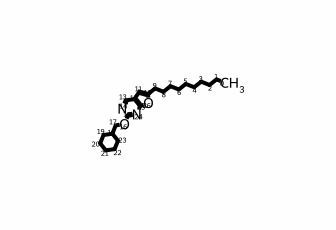 CCCCCCCCCCc1cc2cnc(OCC3CCCCC3)nc2o1